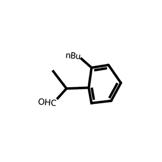 CCCCc1ccccc1C(C)C=O